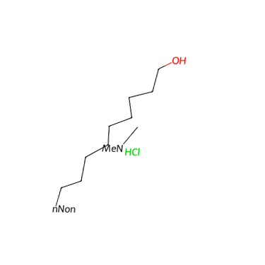 CCCCCCCCCCCCCCCCCCO.CNC.Cl